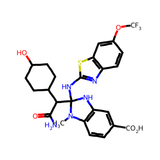 CN1c2ccc(C(=O)O)cc2NC1(Nc1nc2ccc(OC(F)(F)F)cc2s1)C(C(N)=O)C1CCC(O)CC1